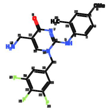 COc1ccc(Nc2nc(=O)c(CN)cn2Cc2cc(F)c(F)c(F)c2)c(C)c1